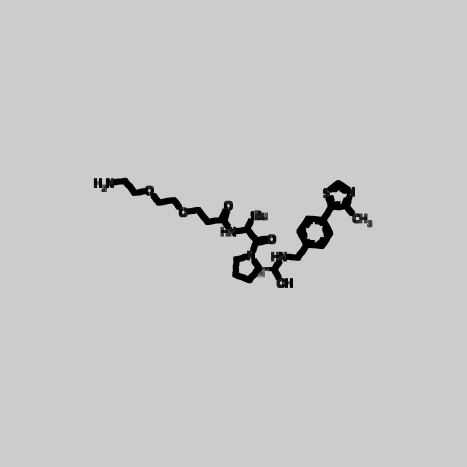 Cc1ncsc1-c1ccc(CNC(O)[C@@H]2CCCN2C(=O)C(NC(=O)CCOCCOCCN)C(C)(C)C)cc1